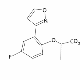 CC(Oc1ccc(F)cc1-c1ccon1)C(=O)O